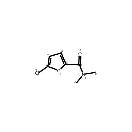 CN(C)C(=O)c1ccc(Cl)o1